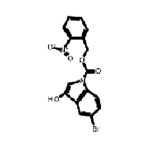 O=C(OCc1ccccc1[N+](=O)[O-])n1cc(O)c2cc(Br)ccc21